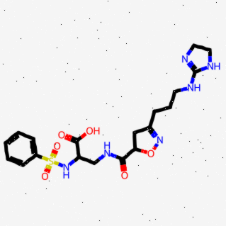 O=C(O)C(CNC(=O)C1CC(CCCNC2=NCCN2)=NO1)NS(=O)(=O)c1ccccc1